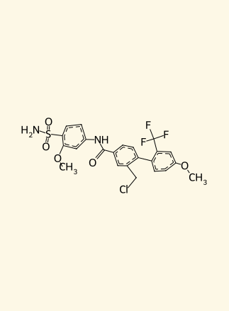 COc1ccc(-c2ccc(C(=O)Nc3ccc(S(N)(=O)=O)c(OC)c3)cc2CCl)c(C(F)(F)F)c1